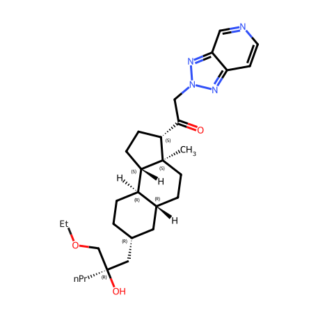 CCC[C@](O)(COCC)C[C@@H]1CC[C@@H]2[C@H](CC[C@]3(C)[C@@H](C(=O)Cn4nc5ccncc5n4)CC[C@@H]23)C1